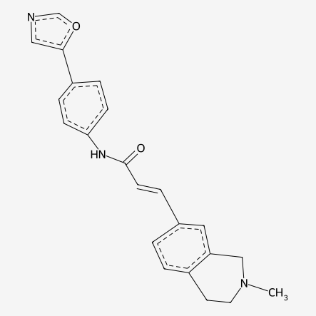 CN1CCc2ccc(/C=C/C(=O)Nc3ccc(-c4cnco4)cc3)cc2C1